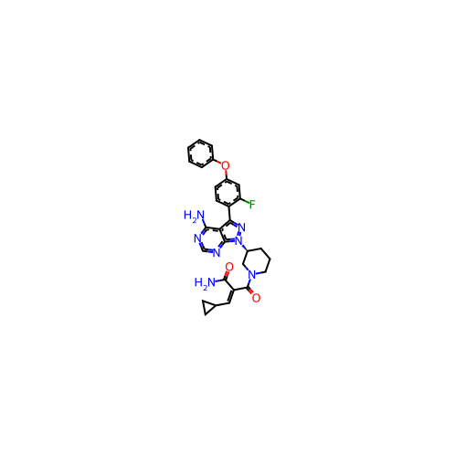 NC(=O)C(=CC1CC1)C(=O)N1CCC[C@H](n2nc(-c3ccc(Oc4ccccc4)cc3F)c3c(N)ncnc32)C1